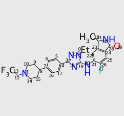 CCn1nc(-c2ccc(C3CCN(CC(F)(F)F)CC3)cc2)nc1Nc1cc2c(cc1F)C(=O)NC2C